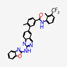 Cc1ccc(C(=O)Nc2cccc(C(F)(F)F)c2C)cc1-c1ccc2nc(Nc3nc4ccccc4o3)ncc2c1